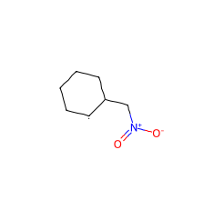 O=[N+]([O-])CC1[CH]CCCC1